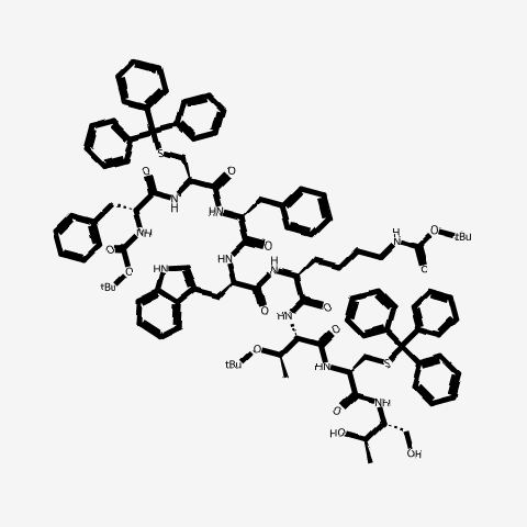 C[C@@H](O)[C@@H](CO)NC(=O)[C@H](CSC(c1ccccc1)(c1ccccc1)c1ccccc1)NC(=O)[C@@H](NC(=O)[C@H](CCCCNC(=O)OC(C)(C)C)NC(=O)[C@@H](Cc1c[nH]c2ccccc12)NC(=O)[C@H](Cc1ccccc1)NC(=O)[C@H](CSC(c1ccccc1)(c1ccccc1)c1ccccc1)NC(=O)[C@@H](Cc1ccccc1)NC(=O)OC(C)(C)C)[C@@H](C)OC(C)(C)C